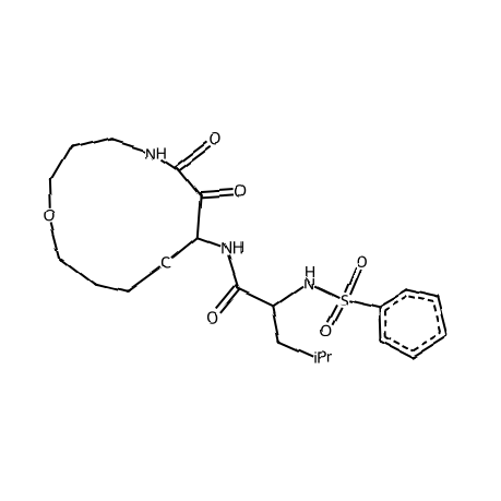 CC(C)CC(NS(=O)(=O)c1ccccc1)C(=O)NC1CCCCOCCCNC(=O)C1=O